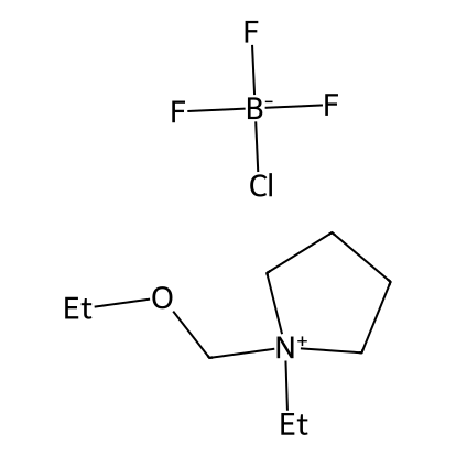 CCOC[N+]1(CC)CCCC1.F[B-](F)(F)Cl